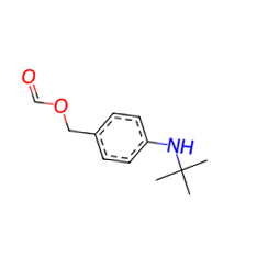 CC(C)(C)Nc1ccc(COC=O)cc1